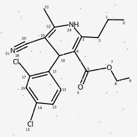 CCCC1=C(C(=O)OCC)C(c2ccc(Cl)cc2Cl)C(C#N)=C(C)N1